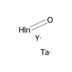 [O]=[InH].[Ta].[Y]